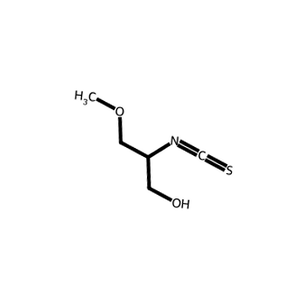 COCC(CO)N=C=S